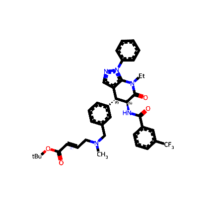 CCN1C(=O)[C@@H](NC(=O)c2cccc(C(F)(F)F)c2)[C@H](c2cccc(CN(C)C/C=C/C(=O)OC(C)(C)C)c2)c2cnn(-c3ccccc3)c21